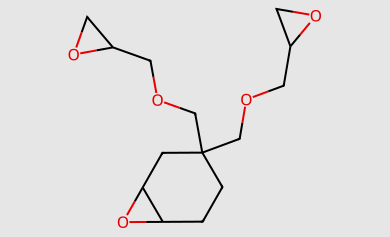 C(OCC1(COCC2CO2)CCC2OC2C1)C1CO1